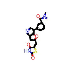 CN(C)C(=O)c1cccc(-c2cncc3cc(C=C4SC(=O)NC4=O)oc23)c1